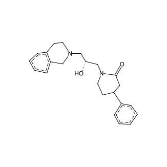 O=C1CC(c2ccccc2)CCN1C[C@H](O)CN1CCc2ccccc2C1